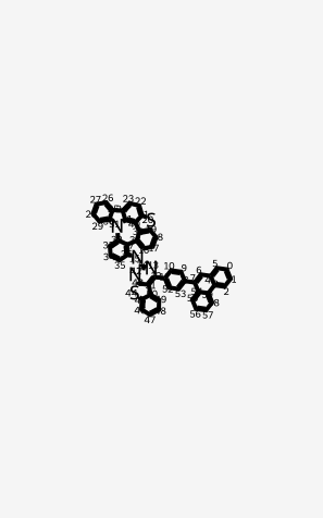 c1ccc2c(c1)cc(-c1ccc(-c3nc(-n4c5ccc6sc7ccc8c9ccccc9n9c%10cccc4c%10c5c6c7c89)nc4sc5ccccc5c34)cc1)c1ccccc12